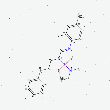 CCCCSP(=O)(N(C)C)N(C=Nc1ccc([N+](=O)[O-])cc1C)CCSc1ccccc1